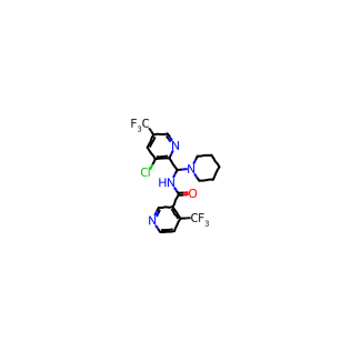 O=C(NC(c1ncc(C(F)(F)F)cc1Cl)N1CCCCC1)c1cnccc1C(F)(F)F